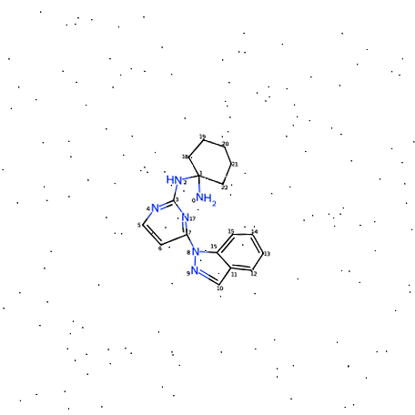 NC1(Nc2nccc(-n3ncc4ccccc43)n2)CCCCC1